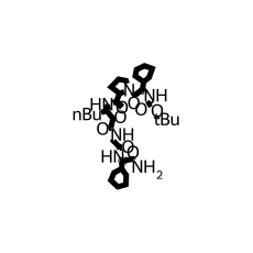 CCCCC(NC(=O)C1CCCN1C(=O)[C@@H](NC(=O)OC(C)(C)C)C1CCCCC1)C(=O)C(=O)NCC(=O)N[C@H](C(N)=O)C1CCCCC1